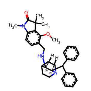 COc1c(CN[C@H]2C3CCN(CC3)[C@H]2C(c2ccccc2)c2ccccc2)ccc2c1C(C)(C)C(=O)N2C